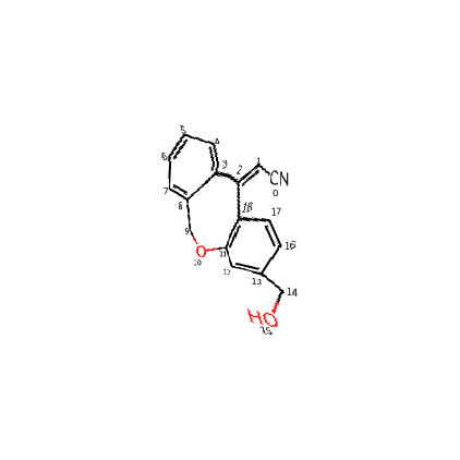 N#CC=C1c2ccccc2COc2cc(CO)ccc21